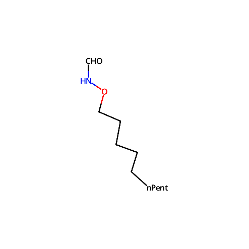 CCCCCCCCCCONC=O